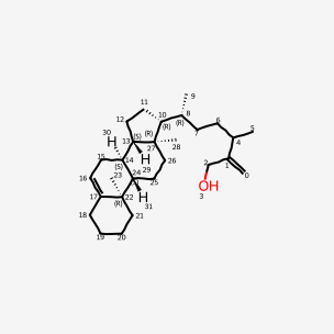 C=C(CO)C(C)CC[C@@H](C)[C@H]1CC[C@H]2[C@@H]3CC=C4CCCC[C@]4(C)[C@H]3CC[C@]12C